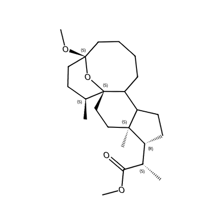 COC(=O)[C@@H](C)[C@H]1CCC2C3CCCC[C@@]4(OC)CC[C@H](C)[C@]3(CC[C@@]21C)O4